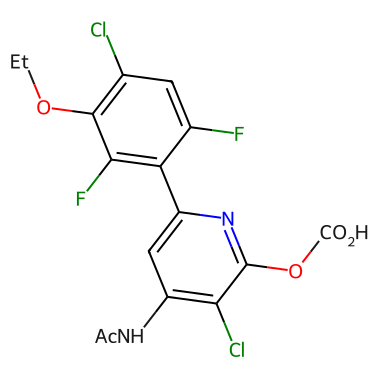 CCOc1c(Cl)cc(F)c(-c2cc(NC(C)=O)c(Cl)c(OC(=O)O)n2)c1F